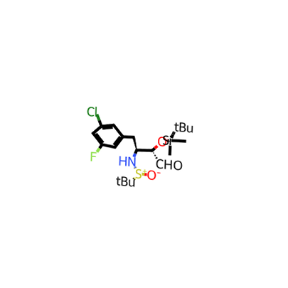 CC(C)(C)[S+]([O-])N[C@@H](Cc1cc(F)cc(Cl)c1)[C@@H](C=O)O[Si](C)(C)C(C)(C)C